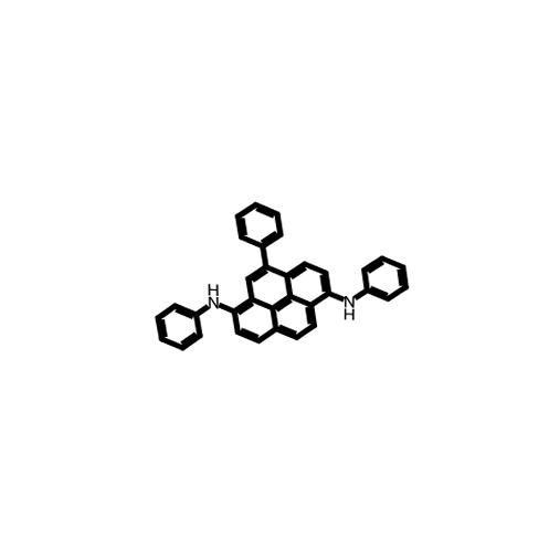 c1ccc(Nc2ccc3ccc4c(Nc5ccccc5)ccc5c(-c6ccccc6)cc2c3c45)cc1